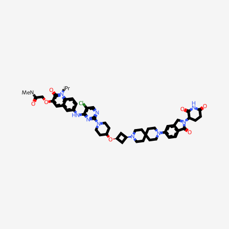 CNC(=O)COc1cc2cc(Nc3nc(N4CCC(O[C@H]5C[C@H](N6CCC7(CCN(c8ccc9c(c8)CN(C8CCC(=O)NC8=O)C9=O)CC7)CC6)C5)CC4)ncc3Cl)ccc2n(C(C)C)c1=O